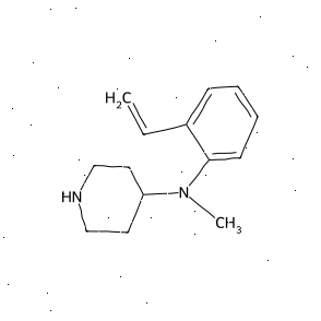 C=Cc1ccccc1N(C)C1CCNCC1